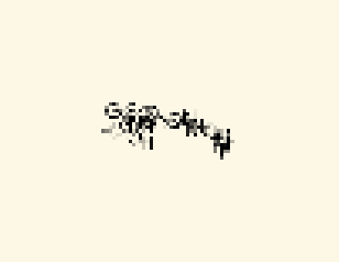 COCc1ccc(C)cc1N1C(=O)CSC1=NC(=O)Nc1ccc(OCc2ncn(-c3ccc(OC(F)(F)F)cc3)n2)cc1OC